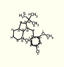 COc1cc(Cl)ccc1CN1C2C(CCCN2C)CC1C(C)(C)C